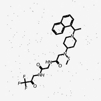 CSN(CC(=O)NCC(=O)NCC(=O)C(F)(F)F)C1CCN(C(C)c2cccc3ccccc23)CC1